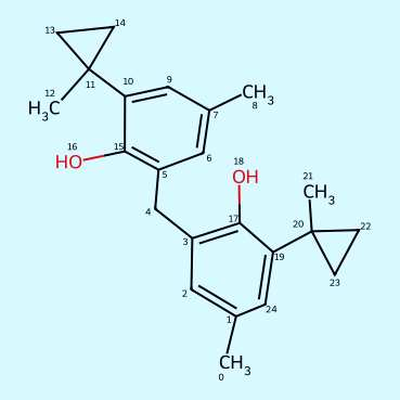 Cc1cc(Cc2cc(C)cc(C3(C)CC3)c2O)c(O)c(C2(C)CC2)c1